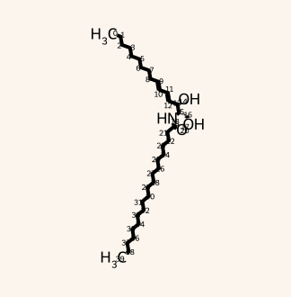 CCCCCCCCC/C=C/C=C/[C@@H](O)[C@H](CO)NC(=O)CCCCCCCCCCCCCCCCCCC